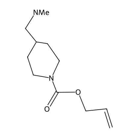 C=CCOC(=O)N1CCC(CNC)CC1